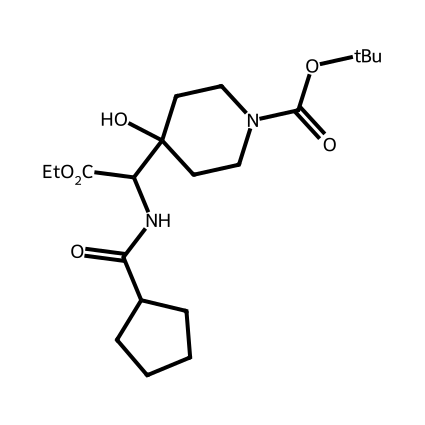 CCOC(=O)C(NC(=O)C1CCCC1)C1(O)CCN(C(=O)OC(C)(C)C)CC1